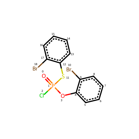 O=P(Cl)(Oc1ccccc1Br)Sc1ccccc1Br